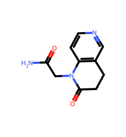 NC(=O)CN1C(=O)CCc2cnccc21